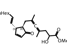 CCCCCCC=C[C@H]1C=CC(=O)[C@@H]1CC(C)=C=C(C)CC(O)C(=O)OC